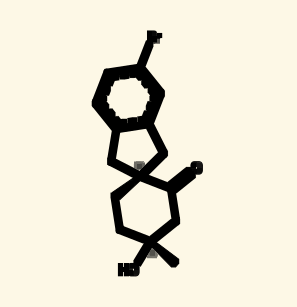 C[C@@]1(O)CC[C@]2(Cc3ccc(Br)cc3C2)C(=O)C1